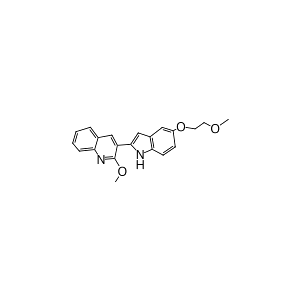 COCCOc1ccc2[nH]c(-c3cc4ccccc4nc3OC)cc2c1